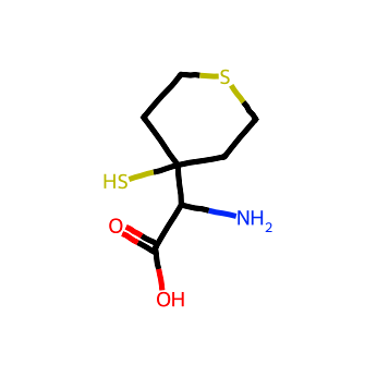 NC(C(=O)O)C1(S)CCSCC1